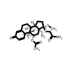 CS[C@@]1(SCC(N)=O)CC[C@H]2[C@@H]3CCC4=CC(=O)C=C[C@]4(C)[C@@]3(F)[C@@H](OC(C)=O)C[C@@]21C